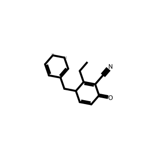 CCC1=C(C#N)C(=O)C=CC1CC1=C[C][C]C=C1